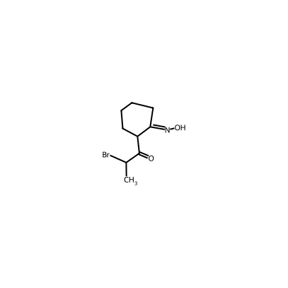 CC(Br)C(=O)C1CCCCC1=NO